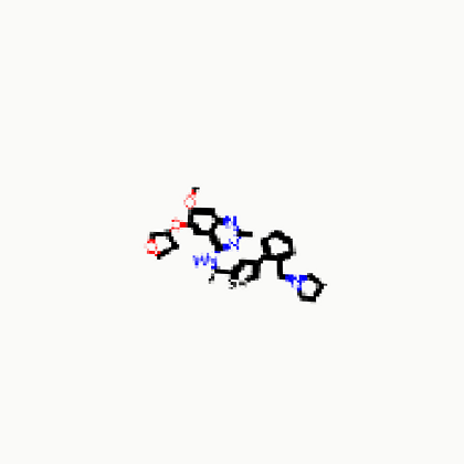 COc1cc2nc(C)nc(N[C@H](C)c3cc(-c4ccccc4CN4CCCC4)c[se]3)c2cc1O[C@H]1CCOC1